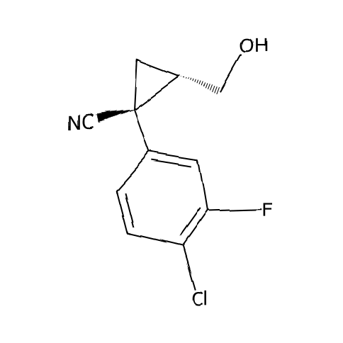 N#C[C@@]1(c2ccc(Cl)c(F)c2)C[C@@H]1CO